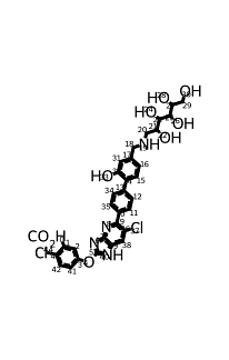 O=C(O)c1cc(Oc2nc3nc(-c4ccc(-c5ccc(CNCC(O)C(O)C(O)C(O)CO)cc5O)cc4)c(Cl)cc3[nH]2)ccc1Cl